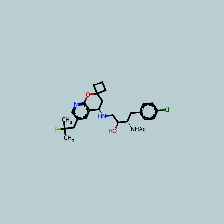 CC(=O)N[C@@H](Cc1ccc(Cl)cc1)[C@@H](O)CN[C@H]1CC2(CCC2)Oc2ncc(CC(C)(C)F)cc21